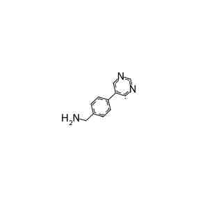 NCc1ccc(-c2[c]ncnc2)cc1